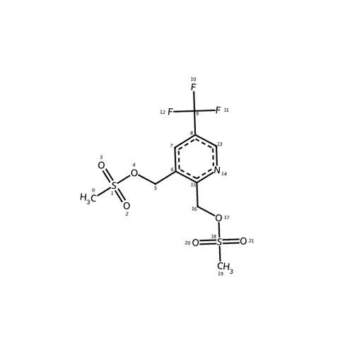 CS(=O)(=O)OCc1cc(C(F)(F)F)cnc1COS(C)(=O)=O